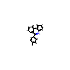 Cc1ccc(-c2nc3ccccc3c3ccccc23)cc1